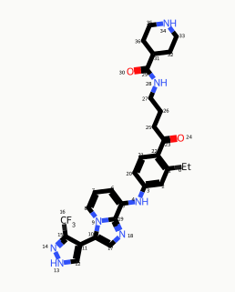 CCc1cc(Nc2cccn3c(-c4c[nH]nc4C(F)(F)F)cnc23)ccc1C(=O)CCCNC(=O)C1CCNCC1